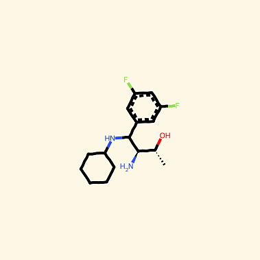 C[C@@H](O)[C@@H](N)C(NC1CCCCC1)c1cc(F)cc(F)c1